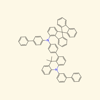 CC1(C)c2ccccc2N(c2cccc(-c3ccccc3)c2)c2cccc(-c3ccc(N(c4ccc(-c5ccccc5)cc4)c4cccc5c4-c4ccccc4C54c5ccccc5-c5ccccc54)cc3)c21